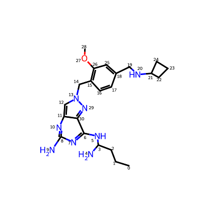 CCCC(N)Nc1nc(N)nc2cn(Cc3ccc(CNC4CCC4)cc3OC)nc12